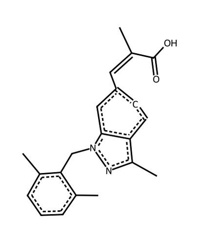 CC(=Cc1ccc2c(C)nn(Cc3c(C)cccc3C)c2c1)C(=O)O